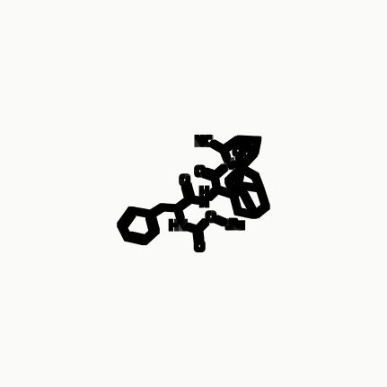 CC(C)(C)OC(=O)NC(Cc1ccccc1)C(=O)NC(C(=O)N1CC2CC2C1C#N)C12CC3CC(CC(O)(C3)C1)C2